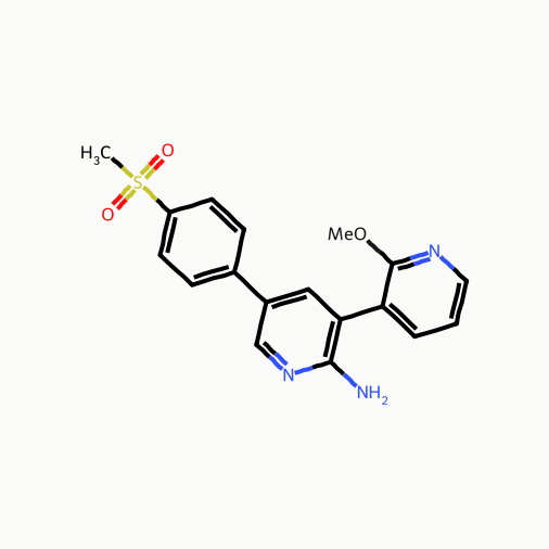 COc1ncccc1-c1cc(-c2ccc(S(C)(=O)=O)cc2)cnc1N